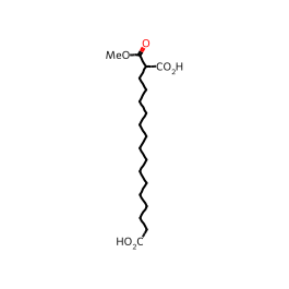 COC(=O)C(CCCCCCCCCCCCCCC(=O)O)C(=O)O